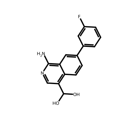 Nc1ncc(C(O)O)c2ccc(-c3cccc(F)c3)cc12